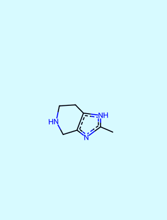 Cc1nc2c([nH]1)CCNC2